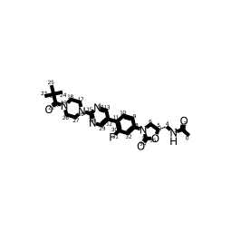 CC(=O)NC[C@H]1CN(c2ccc(-c3cnc(N4CCN(C(=O)C(C)(C)C)CC4)nc3)c(F)c2)C(=O)O1